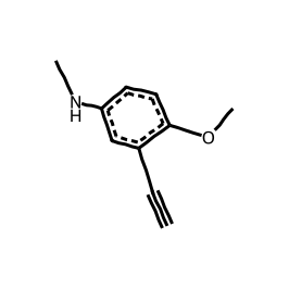 C#Cc1cc(NC)ccc1OC